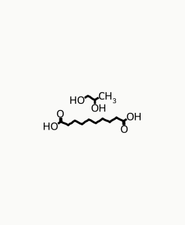 CC(O)CO.O=C(O)CCCCCCCCC(=O)O